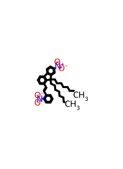 CCCCCCCCC1(CCCCCCCC)c2cc([N+](=O)[O-])ccc2-c2cccc(C=Cc3ccccc3[N+](=O)[O-])c21